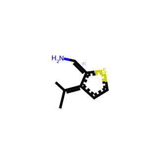 CC(C)=c1ccs/c1=C/N